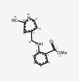 COC(=O)c1ccccc1NCc1ccnc(C#N)c1